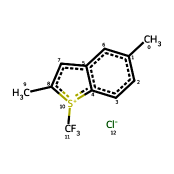 Cc1ccc2c(c1)cc(C)[s+]2C(F)(F)F.[Cl-]